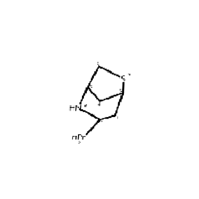 CCCC1CC2CC(CS2)N1